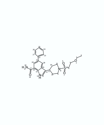 CCOCCS(=O)(=O)N1CCC(c2c[nH]c3c(C(N)=O)cc(-c4ccccc4)cc23)CC1